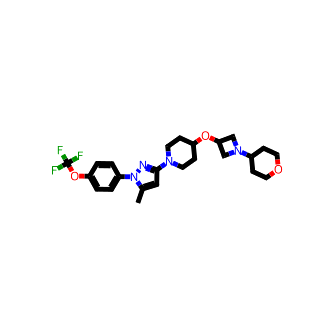 Cc1cc(N2CCC(OC3CN(C4CCOCC4)C3)CC2)nn1-c1ccc(OC(F)(F)F)cc1